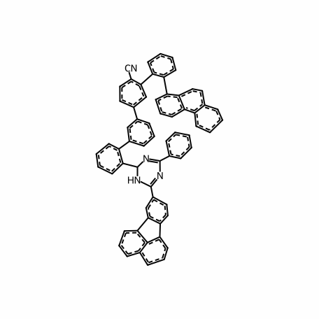 N#Cc1ccc(-c2cccc(-c3ccccc3C3N=C(c4ccccc4)N=C(c4ccc5c(c4)-c4cccc6cccc-5c46)N3)c2)cc1-c1ccccc1-c1cccc2c1ccc1ccccc12